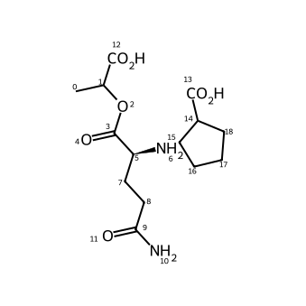 CC(OC(=O)[C@@H](N)CCC(N)=O)C(=O)O.O=C(O)C1CCCC1